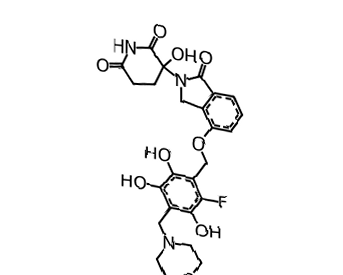 O=C1CCC(O)(N2Cc3c(OCc4c(O)c(O)c(CN5CCOCC5)c(O)c4F)cccc3C2=O)C(=O)N1